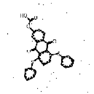 O=C(O)Oc1ccc2c(c1)C(=O)c1c(Sc3ccccc3)ccc(Sc3ccccc3)c1C2=O